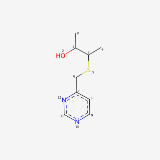 CC(O)C(C)SCc1ccncn1